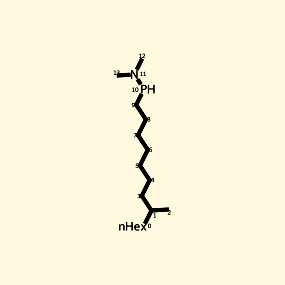 CCCCCCC(C)CCCCCCCPN(C)C